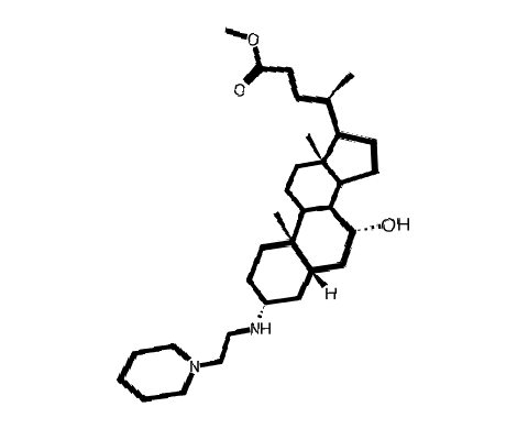 COC(=O)CC[C@@H](C)C1CCC2C3C(CC[C@@]21C)[C@@]1(C)CC[C@@H](NCCN2CCCCC2)C[C@H]1C[C@H]3O